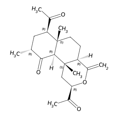 C=C1O[C@@H](C(C)=O)C[C@]2(C)[C@H]3C(=O)[C@H](C)C[C@@H](C(C)=O)[C@]3(C)CC[C@@H]12